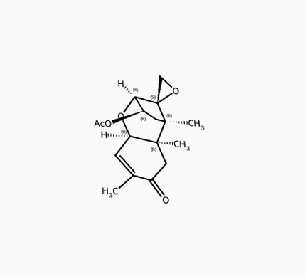 CC(=O)O[C@@H]1C[C@]2(C)[C@@]3(C)CC(=O)C(C)=C[C@H]3O[C@H]1[C@@]21CO1